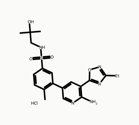 CCc1noc(-c2cc(-c3cc(S(=O)(=O)NCC(C)(C)O)ccc3C)cnc2N)n1.Cl